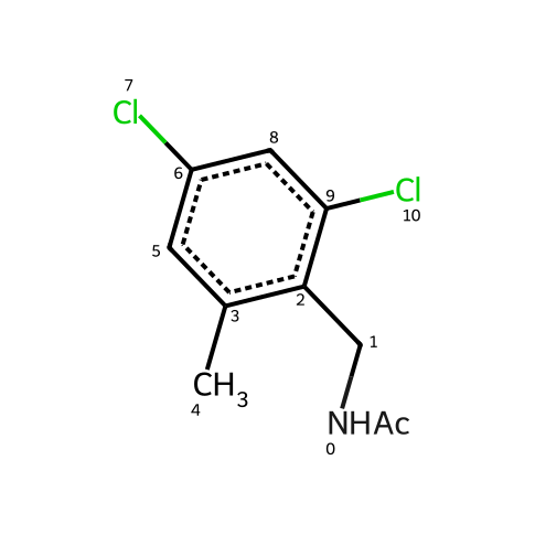 CC(=O)NCc1c(C)cc(Cl)cc1Cl